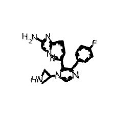 Nc1cn2nc(-c3c(-c4ccc(F)cc4)ncn3C3CNC3)ccc2n1